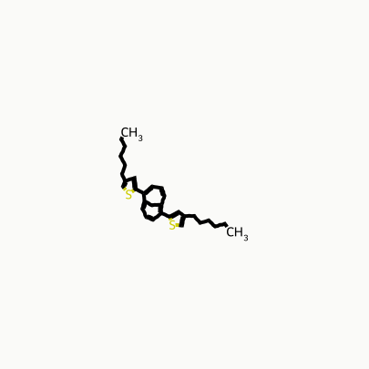 CCCCCCc1csc(C2=CC=CC3=C(c4cc(CCCCCC)cs4)C=CC=C2C3)c1